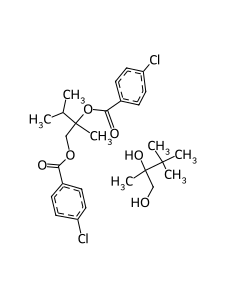 CC(C)(C)C(C)(O)CO.CC(C)C(C)(COC(=O)c1ccc(Cl)cc1)OC(=O)c1ccc(Cl)cc1